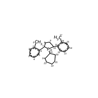 Cc1ccccc1C1CCC(c2ccccc2C)P1C1CCCCC1